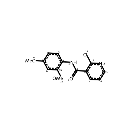 COc1ccc(NC(=O)c2cccnc2Cl)c(OC)c1